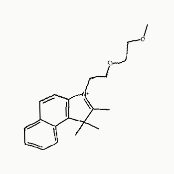 COCCOCC[N+]1=C(C)C(C)(C)c2c1ccc1ccccc21